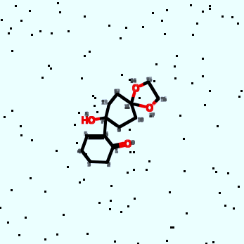 O=C1CCCC=C1C1(O)CCC2(CC1)OCCO2